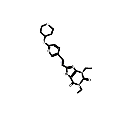 CCn1c(=O)c2[nH]c(/C=C/c3ccc(OC4CCOCC4)nc3)nc2n(CC)c1=O